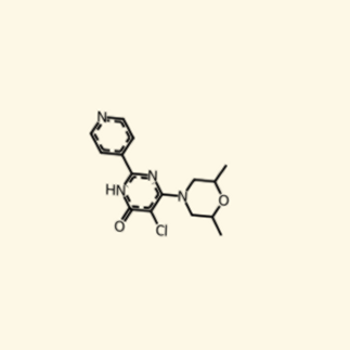 CC1CN(c2nc(-c3ccncc3)[nH]c(=O)c2Cl)CC(C)O1